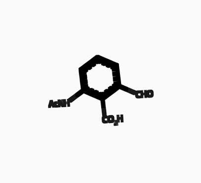 CC(=O)Nc1cccc(C=O)c1C(=O)O